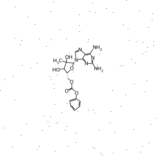 CC1(O)C(O)[C@@H](COC(=O)Oc2ccccc2)O[C@H]1n1cnc2c(N)nc(N)nc21